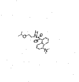 CC(C)OCCNS(=O)(=O)c1cccc2c(N(C)C)cccc12